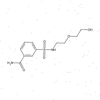 NC(=O)c1cccc(S(=O)(=O)NCCOCCO)c1